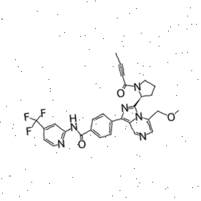 CC#CC(=O)N1CCC[C@H]1c1nc(-c2ccc(C(=O)Nc3cc(C(F)(F)F)ccn3)cc2)c2cncc(COC)n12